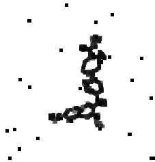 CCOc1cc2nc(C)cn2cc1Nc1ccc(N2CCN(C(=O)OC(C)(C)C)C3(CC3)C2)nn1